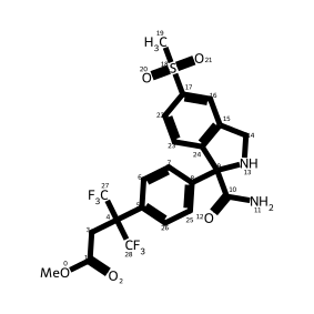 COC(=O)CC(c1ccc(C2(C(N)=O)NCc3cc(S(C)(=O)=O)ccc32)cc1)(C(F)(F)F)C(F)(F)F